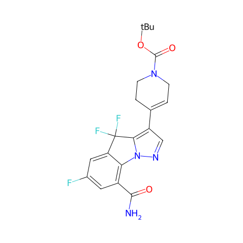 CC(C)(C)OC(=O)N1CC=C(c2cnn3c2C(F)(F)c2cc(F)cc(C(N)=O)c2-3)CC1